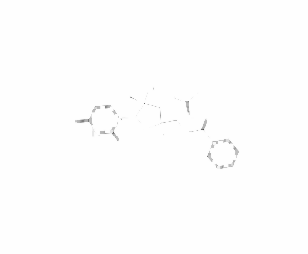 CC(=O)O[C@H]1[C@@](C)(O)[C@H](n2ccc(=O)[nH]c2=O)O[C@]1(F)COC(=O)c1ccccc1